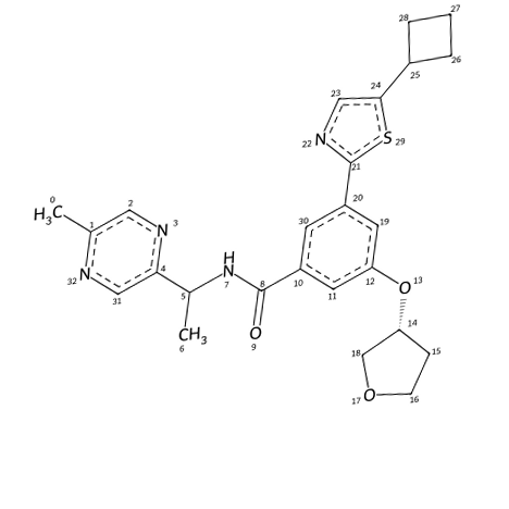 Cc1cnc(C(C)NC(=O)c2cc(O[C@@H]3CCOC3)cc(-c3ncc(C4CCC4)s3)c2)cn1